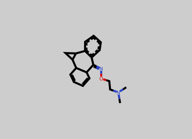 CN(C)CCON=C1c2ccccc2C2CC2C2C=CC=CC12